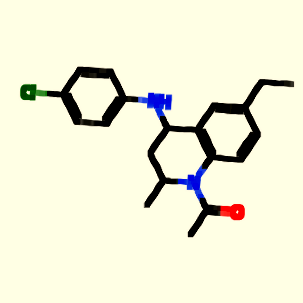 CCc1ccc2c(c1)C(Nc1ccc(Cl)cc1)CC(C)N2C(C)=O